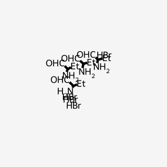 Br.Br.Br.Br.CCC(N)C=O.CCC(N)C=O.CCC(N)C=O.CCC(N)C=O